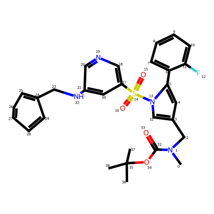 CN(Cc1cc(-c2ccccc2F)n(S(=O)(=O)c2cncc(NCc3ccccc3)c2)c1)C(=O)OC(C)(C)C